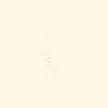 CCOc1cc(O)c(F)c(N2Cc3cnc(NCCCCCN(C(C)C)C(C)C)nc3N(CC)C2=O)c1F